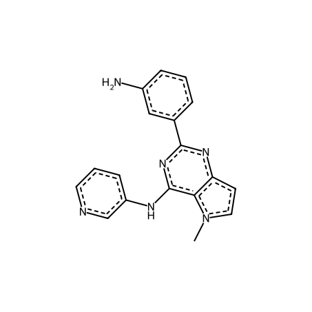 Cn1ccc2nc(-c3cccc(N)c3)nc(Nc3cccnc3)c21